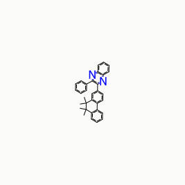 CC1(C)c2ccccc2-c2ccc(-c3nc4ccccc4nc3-c3ccccc3)cc2C1(C)C